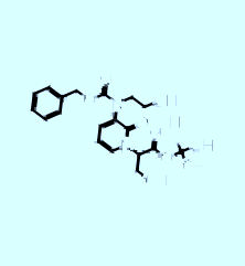 CCCN(C(=O)OCc1ccccc1)c1cccn(C(CC)C(=O)OC(C)(C)C)c1=O